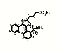 CCOC(=O)CCCc1nc(-c2ccccc2)c(-c2ccccc2S(N)(=O)=O)o1